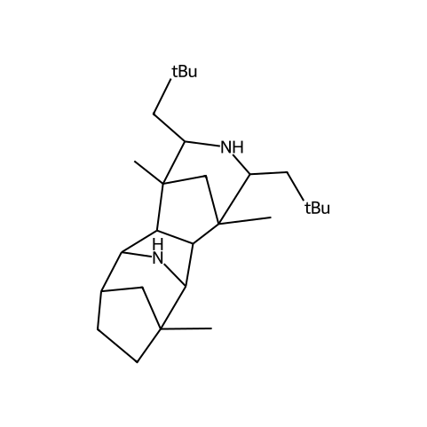 CC(C)(C)CC1NC(CC(C)(C)C)C2(C)CC1(C)C1C3NC(C12)C1(C)CCC3C1